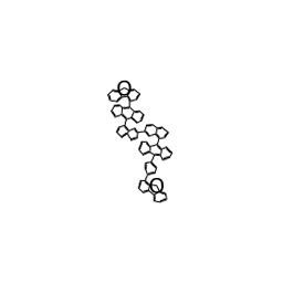 c1cc(-c2c3ccccc3c(-c3ccc(-c4cccc5c4oc4ccccc45)cc3)c3ccccc23)c2cc(-c3ccc4cccc(-c5c6ccccc6c(-c6cccc7oc8ccccc8c67)c6ccccc56)c4c3)ccc2c1